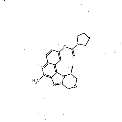 C[C@H]1COCc2nc3c(N)nc4ccc(OC(=O)N5CCCC5)cc4c3n21